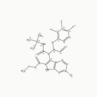 CCOC(=O)c1[nH]c2cc(Cl)ccc2c1C(C(=O)NC(C)(C)C)N(C=O)Cc1ccc(F)c(F)c1F